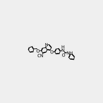 [C-]#[N+]c1cc2c(Oc3ccc(NC(=O)Nc4ccccc4)cc3)ccnc2cc1OCc1ccccc1